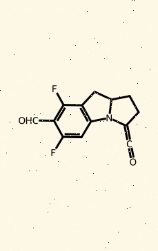 O=C=C1CCC2Cc3c(cc(F)c(C=O)c3F)N12